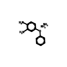 N.N.Nc1ccc(Oc2ccccc2)cc1N